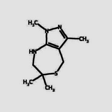 Cc1nn(C)c2c1CSC(C)(C)CN2